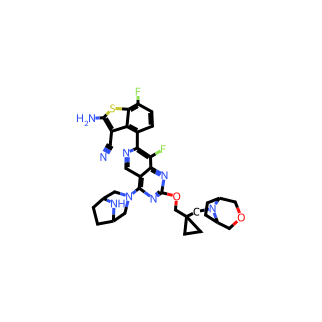 N#Cc1c(N)sc2c(F)ccc(-c3ncc4c(N5CC6CCC(C5)N6)nc(OCC5(CN6C7CCC6COC7)CC5)nc4c3F)c12